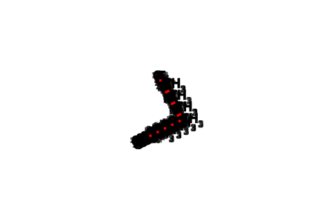 C[n+]1c2ccccc2nc2ccccc21.C[n+]1c2ccccc2nc2ccccc21.C[n+]1c2ccccc2nc2ccccc21.C[n+]1c2ccccc2nc2ccccc21.C[n+]1c2ccccc2nc2ccccc21.C[n+]1c2ccccc2nc2ccccc21.C[n+]1c2ccccc2nc2ccccc21.C[n+]1c2ccccc2nc2ccccc21.[O-]B([O-])F.[O-]B([O-])F.[O-]B([O-])F.[O-]B([O-])F